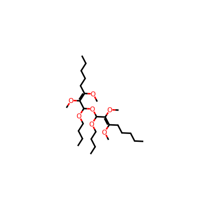 CCCCCC(OC)=C(OC)C(OCCCC)OC(OCCCC)C(OC)=C(CCCCC)OC